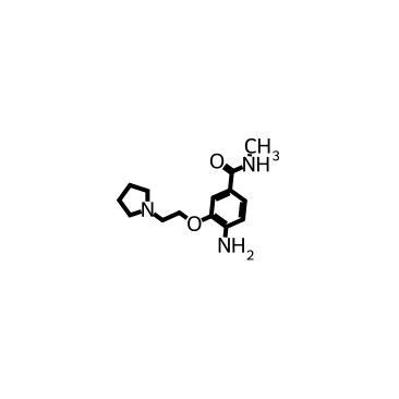 CNC(=O)c1ccc(N)c(OCCN2CCCC2)c1